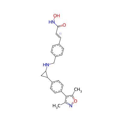 Cc1noc(C)c1-c1ccc(C2CC2NCc2ccc(/C=C/C(=O)NO)cc2)cc1